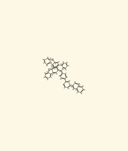 c1cc(-c2ccc(N(c3ccc4oc5ccccc5c4c3)c3ccccc3-c3ccc4c(c3)sc3ccccc34)cc2)cc(-c2ccc3ccccc3c2)c1